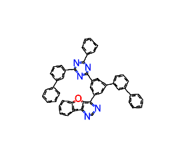 c1ccc(-c2cccc(-c3cc(-c4nc(-c5ccccc5)nc(-c5cccc(-c6ccccc6)c5)n4)cc(-c4ncnc5c4oc4ccccc45)c3)c2)cc1